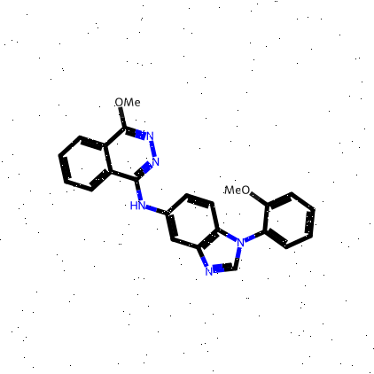 COc1ccccc1-n1cnc2cc(Nc3nnc(OC)c4ccccc34)ccc21